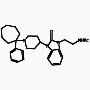 CC(=O)NCCn1c(=O)n(C2CCN(C3(c4ccccc4)CCCCCC3)CC2)c2ccccc21